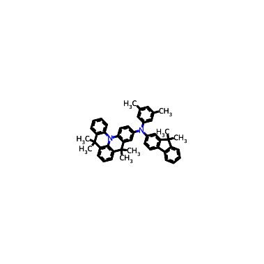 Cc1cc(C)cc(N(c2ccc3c(c2)C(C)(C)c2ccccc2-3)c2ccc3c(c2)C(C)(C)c2cccc4c2N3c2ccccc2C4(C)C)c1